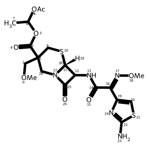 COCC1(C(=O)OC(C)OC(C)=O)CS[C@@H]2C(NC(=O)C(=NOC)c3csc(N)n3)C(=O)N2C1